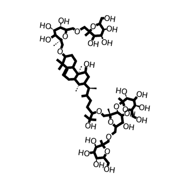 CC(CCC(OC[C@@]1(C)OC(COCC2(C)OC(CO)[C@H](O)C(O)[C@H]2O)[C@H](O)C(O)[C@H]1OC1(C)OC(CO)[C@H](O)C(O)[C@H]1O)C(C)(C)O)[C@H](C)C1CC(O)[C@]2(C)C3CCC(OC[C@]4(C)OC(COCC5(C)OC(CO)[C@@H](O)[C@@H](O)C5O)[C@@H](O)[C@@H](O)C4O)C(C)(C)C3=CCC2[C@H]1C